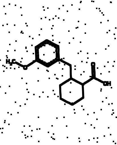 COc1cccc(CC2CCCCC2C(=O)O)c1